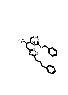 CC(Cc1noc(CCCc2ccccc2)n1)C(CO)NC(=O)OCc1ccccc1